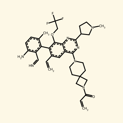 C=CC(=O)N1CC2(CCN(c3nc(C4CCN(C)C4)nc4c(OCC(F)(F)F)c(-c5c(C)ccc(N)c5C=N)c(C=C)cc34)CC2)C1